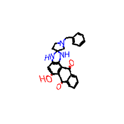 O=C1c2ccccc2C(=O)c2c3c(cc(O)c21)NC1(CCN(Cc2ccccc2)C1)N3